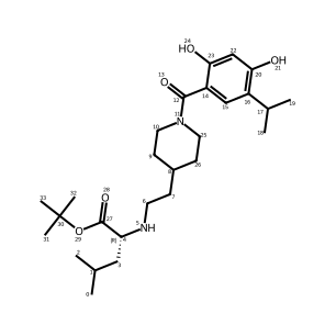 CC(C)C[C@@H](NCCC1CCN(C(=O)c2cc(C(C)C)c(O)cc2O)CC1)C(=O)OC(C)(C)C